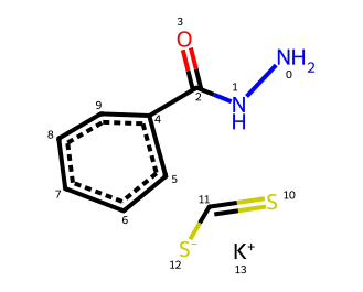 NNC(=O)c1ccccc1.S=C[S-].[K+]